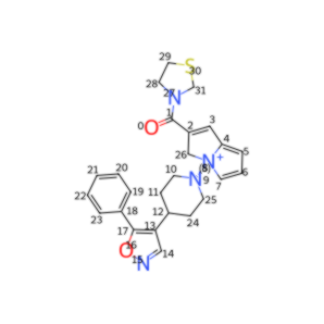 O=C(C1=CC2=CC=C[N@@+]2(N2CCC(c3cnoc3-c3ccccc3)CC2)C1)N1CCSC1